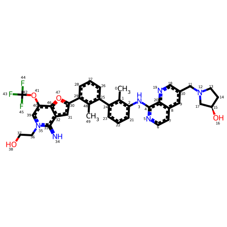 Cc1c(Nc2nccc3cc(CN4CC[C@@H](O)C4)cnc23)cccc1-c1cccc(-c2cc3c(=N)n(CCO)cc(OC(F)(F)F)c3o2)c1C